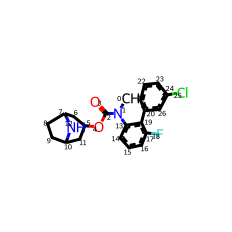 CN(C(=O)OC1CC2CCC(C1)N2)c1cccc(F)c1-c1cccc(Cl)c1